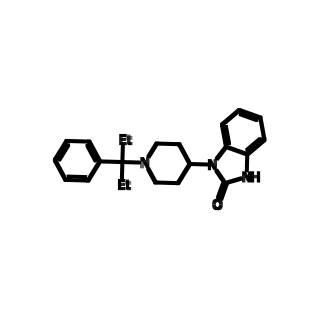 CCC(CC)(c1ccccc1)N1CCC(n2c(=O)[nH]c3ccccc32)CC1